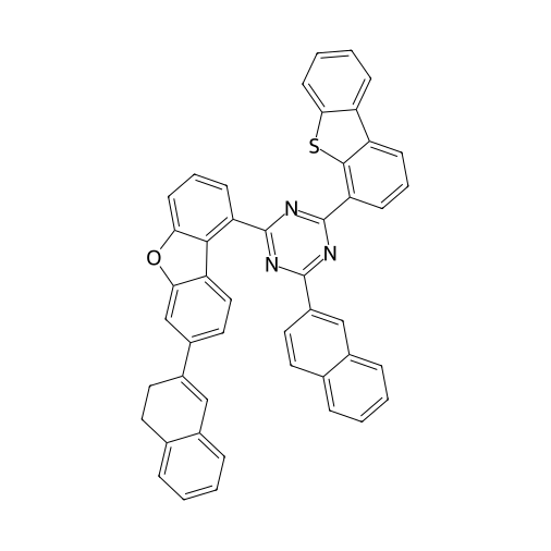 C1=C(c2ccc3c(c2)oc2cccc(-c4nc(-c5ccc6ccccc6c5)nc(-c5cccc6c5sc5ccccc56)n4)c23)CCc2ccccc21